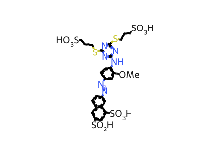 COc1cc(/N=N/c2ccc3cc(S(=O)(=O)O)cc(S(=O)(=O)O)c3c2)ccc1Nc1nc(SCCCS(=O)(=O)O)nc(SCCCS(=O)(=O)O)n1